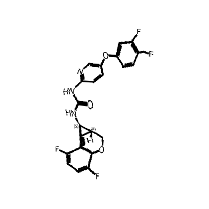 O=C(Nc1ccc(Oc2ccc(F)c(F)c2)cn1)N[C@@H]1C2=C3C(F)=CC=C(F)C3OC[C@H]21